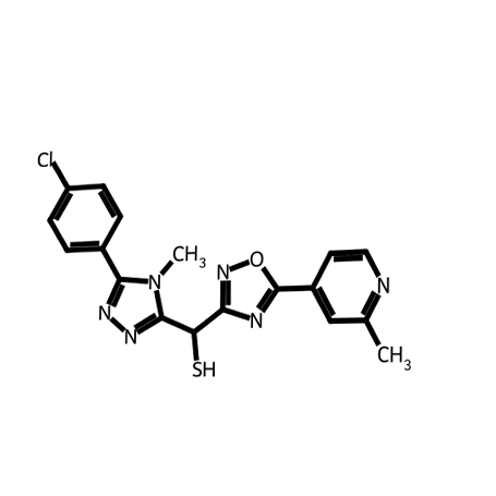 Cc1cc(-c2nc(C(S)c3nnc(-c4ccc(Cl)cc4)n3C)no2)ccn1